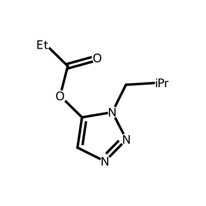 CCC(=O)Oc1cnnn1CC(C)C